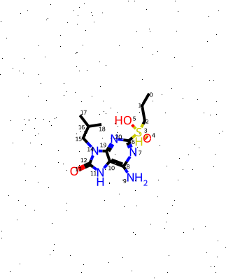 CCC[SH](=O)(O)c1nc(N)c2[nH]c(=O)n(CC(C)C)c2n1